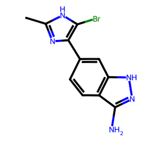 Cc1nc(-c2ccc3c(N)n[nH]c3c2)c(Br)[nH]1